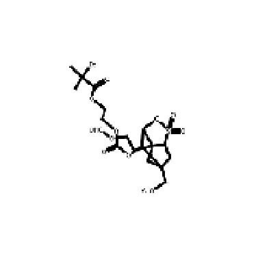 CCC(C)(C)C(=O)OCCOC(=O)OC1C2OS(=O)(=O)C3CC1(COC(C)=O)CC23CCOC=O